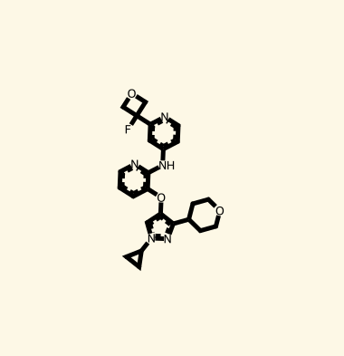 FC1(c2cc(Nc3ncccc3Oc3cn(C4CC4)nc3C3CCOCC3)ccn2)COC1